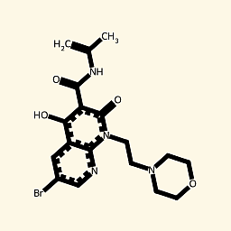 C=C(C)NC(=O)c1c(O)c2cc(Br)cnc2n(CCN2CCOCC2)c1=O